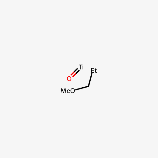 [CH2]CCOC.[O]=[Ti]